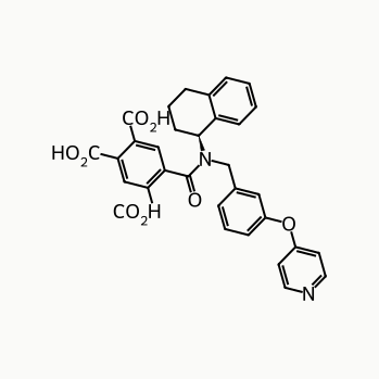 O=C(O)c1cc(C(=O)O)c(C(=O)N(Cc2cccc(Oc3ccncc3)c2)[C@H]2CCCc3ccccc32)cc1C(=O)O